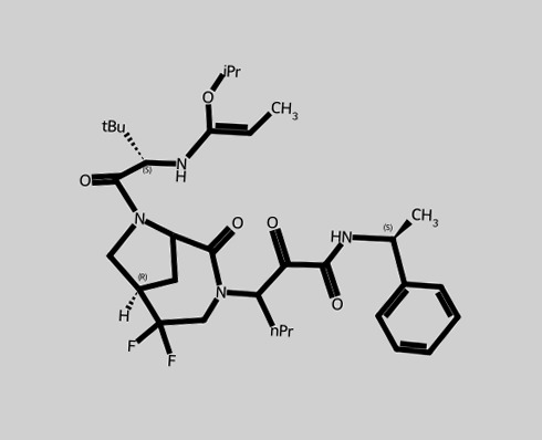 CC=C(N[C@H](C(=O)N1C[C@H]2CC1C(=O)N(C(CCC)C(=O)C(=O)N[C@@H](C)c1ccccc1)CC2(F)F)C(C)(C)C)OC(C)C